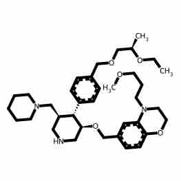 CCO[C@H](C)COCc1ccc([C@H]2[C@H](CN3CCCCC3)CNC[C@@H]2OCc2ccc3c(c2)N(CCCOC)CCO3)cc1